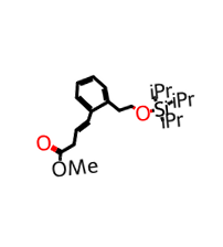 COC(=O)CC=Cc1ccccc1CCO[Si](C(C)C)(C(C)C)C(C)C